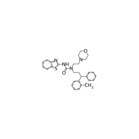 Cc1ccccc1C(CCN(CCN1CCOCC1)C(=O)Nc1nc2ccccc2s1)c1ccccc1